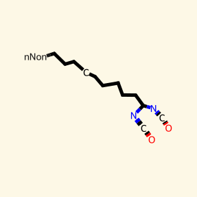 CCCCCCCCCCCCCCCCCCC(N=C=O)N=C=O